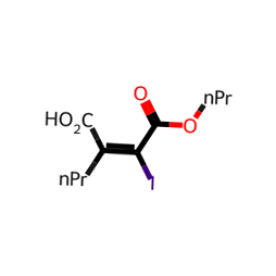 CCCOC(=O)C(I)=C(CCC)C(=O)O